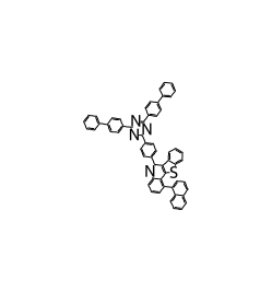 c1ccc(-c2ccc(-c3nc(-c4ccc(-c5ccccc5)cc4)nc(-c4ccc(-c5nc6cccc(-c7cccc8ccccc78)c6c6sc7ccccc7c56)cc4)n3)cc2)cc1